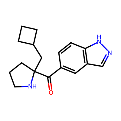 O=C(c1ccc2[nH]ncc2c1)C1(CC2CCC2)CCCN1